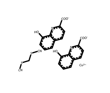 N#CSCSC#N.O=C([O-])c1ccc2cccc(O)c2n1.O=C([O-])c1ccc2cccc(O)c2n1.[Cu+2]